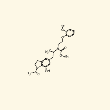 CCOc1ccccc1OCCN(C(=O)OC(C)(C)C)C(C)Cc1cc(C#N)c2c(c1)CCN2C(=O)C(F)(F)F